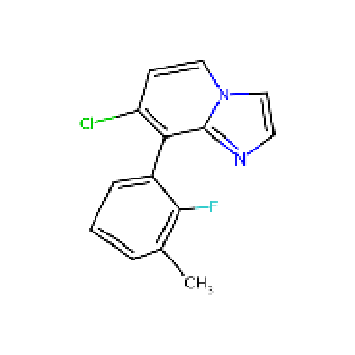 Cc1cccc(-c2c(Cl)ccn3ccnc23)c1F